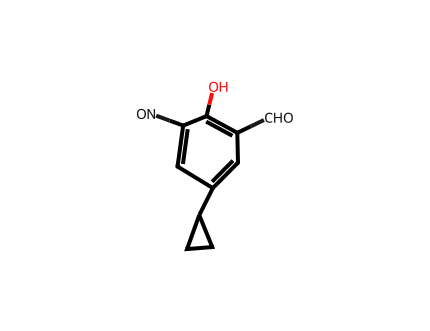 O=Cc1cc(C2CC2)cc(N=O)c1O